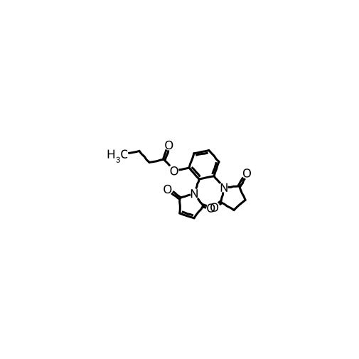 CCCC(=O)Oc1cccc(N2C(=O)CCC2=O)c1N1C(=O)C=CC1=O